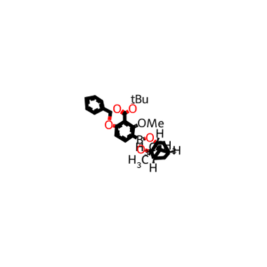 COc1c(B2O[C@@H]3C[C@@H]4C[C@@H](C4(C)C)[C@]3(C)O2)ccc(OCc2ccccc2)c1C(=O)OC(C)(C)C